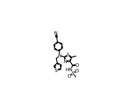 Cc1sc(N(Cc2ccsc2)c2ccc(C#N)cc2)nc1C(=O)NS(C)(=O)=O